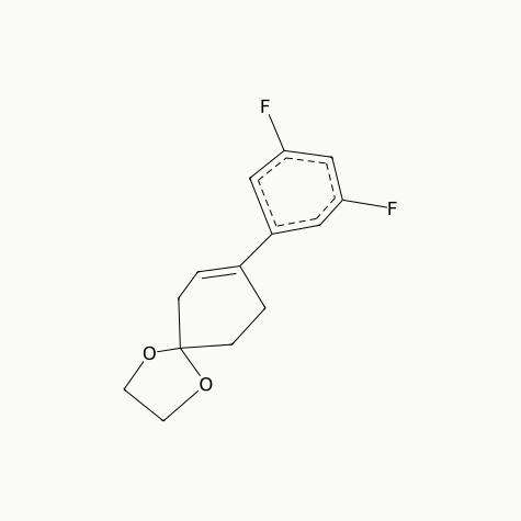 Fc1cc(F)cc(C2=CCC3(CC2)OCCO3)c1